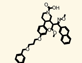 CO/N=C(\c1ccc2ccccc2c1)C(C(=O)OC)C1CN(C(=O)O)CCC1c1ccc(OCCCOCc2ccccc2)cc1